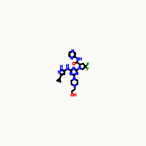 O=C(Nc1cnccn1)C1CC(F)(F)CN1c1nc(Nc2cc(C3CC3)n[nH]2)nc(N2CCN(CCO)CC2)n1